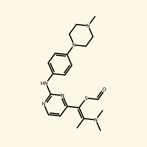 C/C(=C(/SC=O)c1ccnc(Nc2ccc(N3CCN(C)CC3)cc2)n1)N(C)C